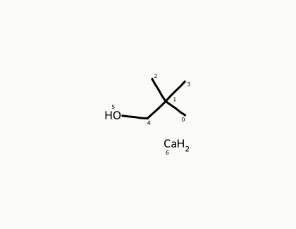 CC(C)(C)CO.[CaH2]